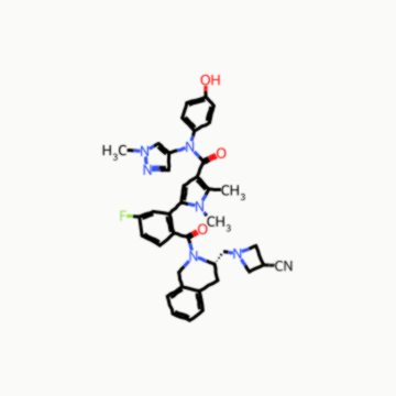 Cc1c(C(=O)N(c2ccc(O)cc2)c2cnn(C)c2)cc(-c2cc(F)ccc2C(=O)N2Cc3ccccc3C[C@H]2CN2CC(C#N)C2)n1C